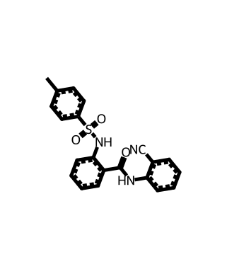 Cc1ccc(S(=O)(=O)Nc2ccccc2C(=O)Nc2ccccc2C#N)cc1